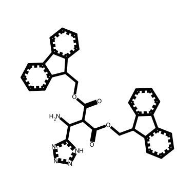 NC(c1nnn[nH]1)C(C(=O)OCC1c2ccccc2-c2ccccc21)C(=O)OCC1c2ccccc2-c2ccccc21